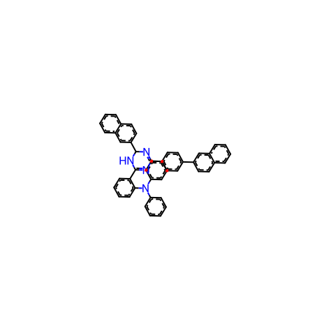 c1ccc(N(c2ccccc2)c2ccccc2C2=NC(c3ccc(-c4ccc5ccccc5c4)cc3)=NC(c3ccc4ccccc4c3)N2)cc1